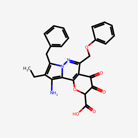 CCc1c(N)c2c3c(c(COc4ccccc4)nn2c1Cc1ccccc1)C(=O)C(=O)C(C(=O)O)O3